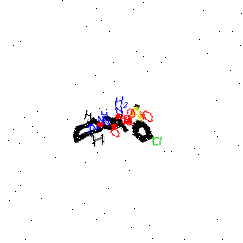 CC(C)(Oc1ccc(Cl)cc1S(C)(=O)=O)C(=O)N[C@H]1C[C@H]2CC[C@@H](C1)N2c1ccc(C(N)=O)cn1